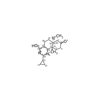 C[C@@H]1C(=O)CC[C@]2(C)c3nc(C4CC4)nc(O)c3CC[C@@H]12